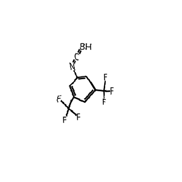 B=C=Nc1cc(C(F)(F)F)cc(C(F)(F)F)c1